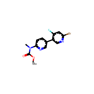 CN(C(=O)OC(C)(C)C)c1ccc(-c2cnc(Br)cc2F)cn1